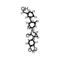 Cc1cc(N2C(=O)C3(c4ccc5c(c4)OCO5)CC23)ncc1-c1cccc(CO)c1